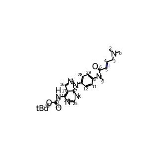 CN(C)C/C=C/C(=O)N(C)c1ccc(-n2ncc3c(NC(=O)OC(C)(C)C)ncnc32)cc1